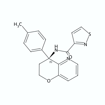 Cc1ccc([C@@]2(NC(=O)c3ccsn3)CCOc3cccnc32)cc1